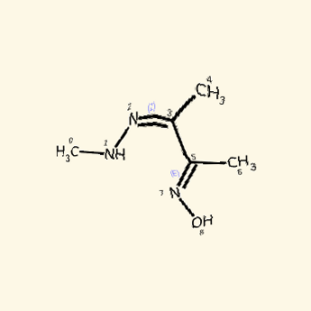 CN/N=C(C)\C(C)=N\O